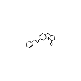 O=C1CCc2cc3ccc(OCc4ccccc4)cc3n21